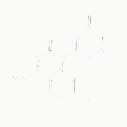 C=C/C=C(\C=N/C)n1c(=O)nc(NC)c2ccc(Cl)cc21